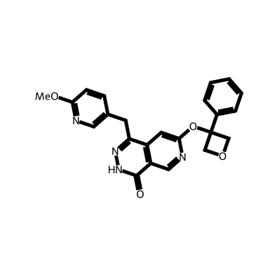 COc1ccc(Cc2n[nH]c(=O)c3cnc(OC4(c5ccccc5)COC4)cc23)cn1